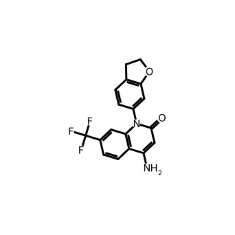 Nc1cc(=O)n(-c2ccc3c(c2)OCC3)c2cc(C(F)(F)F)ccc12